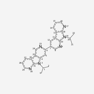 CC(C)n1c2cc(-c3cnc4c(c3)c3cccnc3n4C(C)C)ncc2c2cccnc21